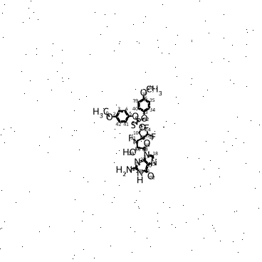 COc1ccc(OP(=S)(OC[C@@]2(C(F)F)O[C@@H](n3cnc4c(=O)[nH]c(N)nc43)[C@H](O)[C@H]2F)Oc2ccc(OC)cc2)cc1